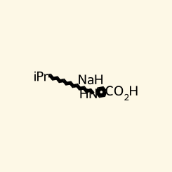 CC(C)CCCCCCCCCCCCCNc1ccc(C(=O)O)cc1.[NaH]